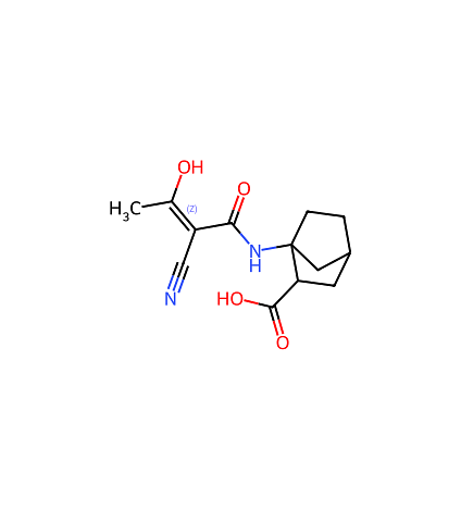 C/C(O)=C(\C#N)C(=O)NC12CCC(CC1C(=O)O)C2